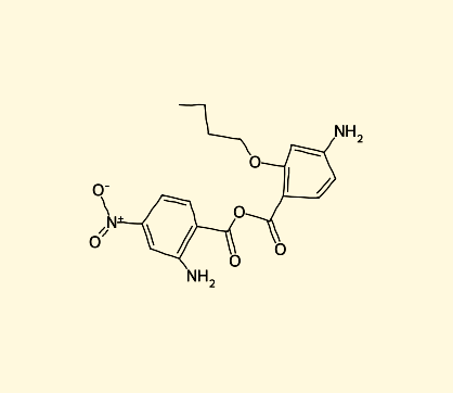 CCCCOc1cc(N)ccc1C(=O)OC(=O)c1ccc([N+](=O)[O-])cc1N